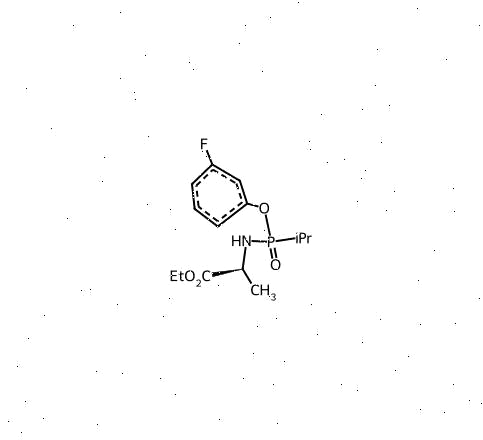 CCOC(=O)[C@H](C)NP(=O)(Oc1cccc(F)c1)C(C)C